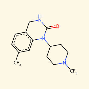 O=C1NCc2ccc(C(F)(F)F)cc2N1C1CCN(C(F)(F)F)CC1